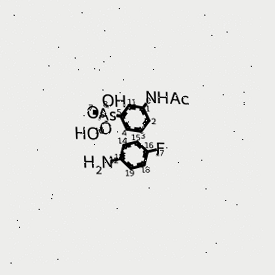 CC(=O)Nc1cccc([As](=O)(O)OO)c1.Nc1ccc(F)cc1